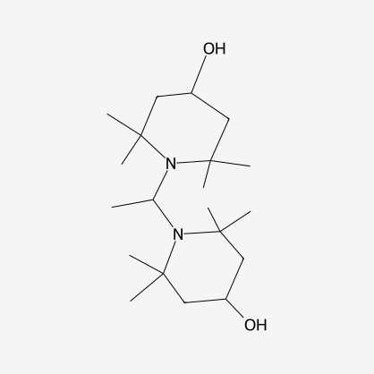 CC(N1C(C)(C)CC(O)CC1(C)C)N1C(C)(C)CC(O)CC1(C)C